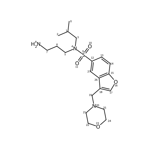 CC(C)CN(CCCN)S(=O)(=O)c1ccc2occ(CN3CCOCC3)c2c1